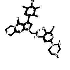 Cc1cc(-c2cn(CC(=O)Nc3cc(N4CCN(C)C[C@@H]4C)nc(F)c3Cl)c3nc4n(c(=O)c23)CCOC4)c(F)c(F)c1O